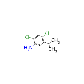 CC(C)c1cc(N)c(Cl)cc1Cl